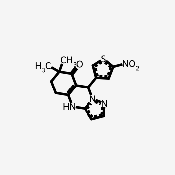 CC1(C)CCC2=C(C1=O)C(c1csc([N+](=O)[O-])c1)n1nccc1N2